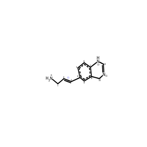 NC/C=C/c1ccc2c(c1)[CH]N=CN2